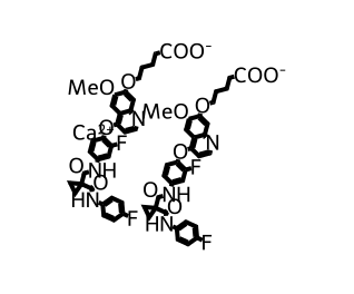 COc1cc2c(Oc3ccc(NC(=O)C4(C(=O)Nc5ccc(F)cc5)CC4)cc3F)ccnc2cc1OCCCCC(=O)[O-].COc1cc2c(Oc3ccc(NC(=O)C4(C(=O)Nc5ccc(F)cc5)CC4)cc3F)ccnc2cc1OCCCCC(=O)[O-].[Ca+2]